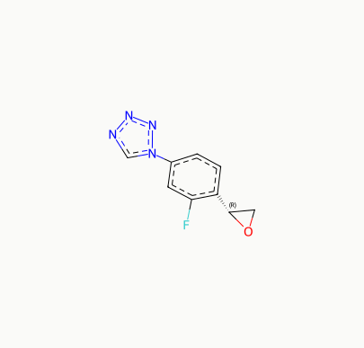 Fc1cc(-n2cnnn2)ccc1[C@@H]1CO1